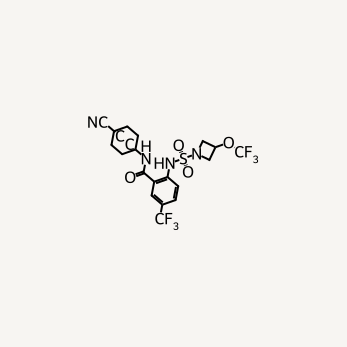 N#CC12CCC(NC(=O)c3cc(C(F)(F)F)ccc3NS(=O)(=O)N3CC(OC(F)(F)F)C3)(CC1)CC2